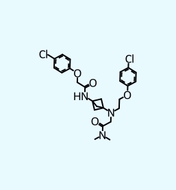 CN(C)C(=O)CN(CCOc1ccc(Cl)cc1)C12CC(NC(=O)COc3ccc(Cl)cc3)(C1)C2